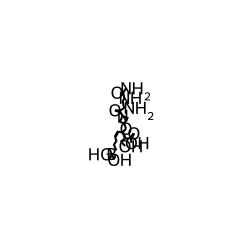 NC(=O)NC[C@@H](N)C(=O)N1CC(OC(/C=C\CCCB(O)O)=C(/CO)C(=O)O)C1